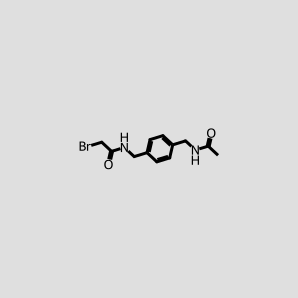 CC(=O)NCc1ccc(CNC(=O)CBr)cc1